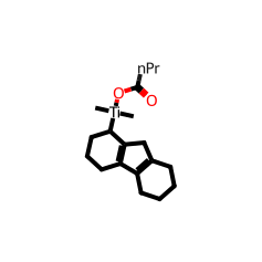 CCCC(=O)[O][Ti]([CH3])([CH3])[CH]1CCCC2=C1CC1=C2CCCC1